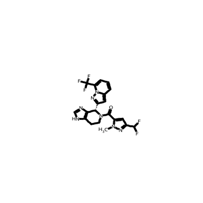 Cn1nc(C(F)F)cc1C(=O)N1CCc2[nH]cnc2[C@@H]1c1cc2cccc(C(F)(F)F)n2n1